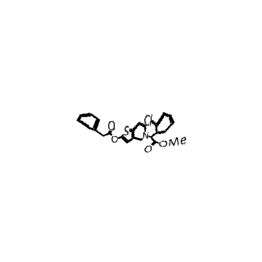 COC(=O)C(c1ccccc1Cl)N1CCc2sc(OC(=O)Cc3ccccc3)cc2C1